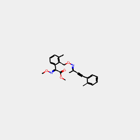 CO/N=C(/C(=O)OC)c1cccc(C)c1CO/N=C(\C)C#Cc1ccccc1C